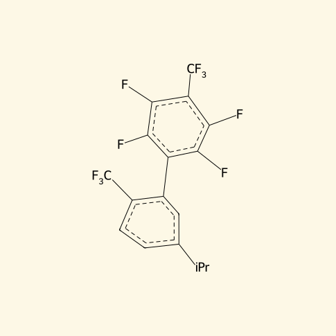 CC(C)c1ccc(C(F)(F)F)c(-c2c(F)c(F)c(C(F)(F)F)c(F)c2F)c1